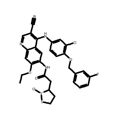 CCOc1cc2ncc(C#N)c(Nc3ccc(OCc4cccc(F)c4)c(Cl)c3)c2cc1NC(=O)CC1CCS[S+]1[O-]